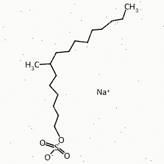 CCCCCCCCCC(C)CCCCCCOS(=O)(=O)[O-].[Na+]